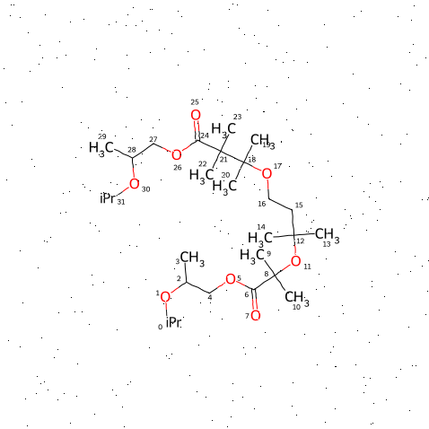 CC(C)OC(C)COC(=O)C(C)(C)OC(C)(C)CCOC(C)(C)C(C)(C)C(=O)OCC(C)OC(C)C